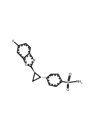 NS(=O)(=O)c1ccc([C@@H]2C[C@H]2c2nc3ccc(F)cc3o2)cc1